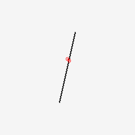 CCCCCCCCCCCCCCCCCCCCCCCCCCCCCCCCCCOC(=O)CCCCCCCCCCCCCCCCCCCCCC